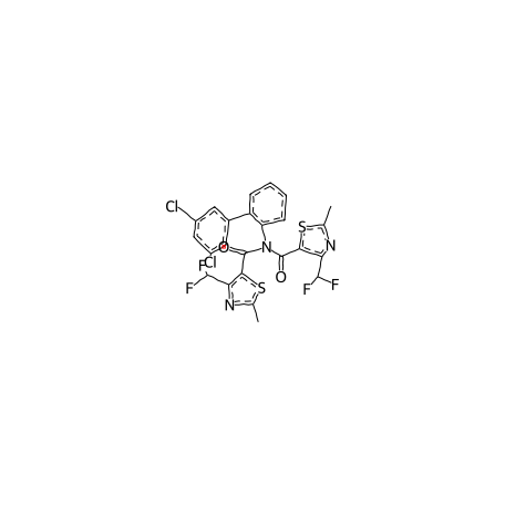 Cc1nc(C(F)F)c(C(=O)N(C(=O)c2sc(C)nc2C(F)F)c2ccccc2-c2cc(Cl)cc(Cl)c2)s1